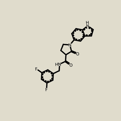 O=C(NCc1cc(F)cc(F)c1)C1CCN(c2ccc3[nH]ccc3c2)C1=O